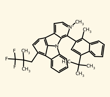 Cc1c(-c2c3c(cc[n+]2C)c2ccc(CC(C)(C)C(F)(F)F)c4c5ccccc5n3c24)cc(C(C)(C)C)c2ccccc12